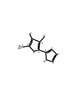 CC1=[C]([Zr])CC(C2=CC=CC2)=C1C